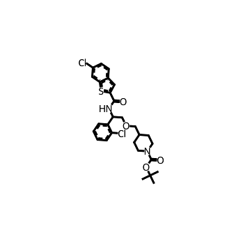 CC(C)(C)OC(=O)N1CCC(COCC(NC(=O)c2cc3ccc(Cl)cc3s2)c2ccccc2Cl)CC1